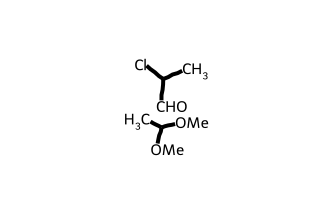 CC(Cl)C=O.COC(C)OC